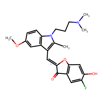 COc1ccc2c(c1)c(/C=C1\Oc3cc(O)c(F)cc3C1=O)c(C)n2CCCN(C)C